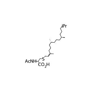 CC(=O)N[C@@H](CSCC=C(C)CCC[C@H](C)CCC[C@H](C)CCCC(C)C)C(=O)O